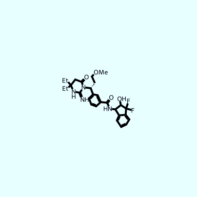 CCC1(CC)CC(=O)N([C@H](CCOC)c2cccc(C(=O)NC3c4ccccc4C(F)(F)C3O)c2)C(=N)N1